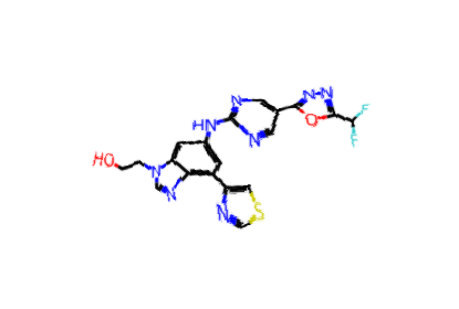 OCCn1cnc2c(-c3cscn3)cc(Nc3ncc(-c4nnc(C(F)F)o4)cn3)cc21